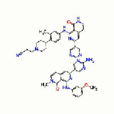 COc1cccc(Nc2nc(-c3cnc(N)nc3)cc3ccn(C)c(=O)c23)c1.Cc1cc(Nc2nc(-c3cncnc3)cc3cc[nH]c(=O)c23)ccc1C1CCN(CCC#N)CC1